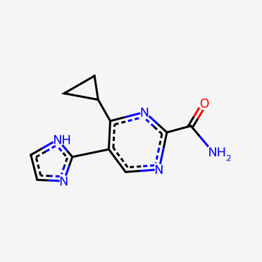 NC(=O)c1ncc(-c2ncc[nH]2)c(C2CC2)n1